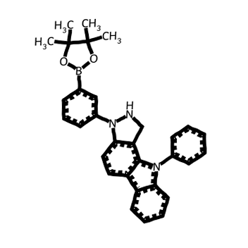 CC1(C)OB(c2cccc(N3NCc4c3ccc3c5ccccc5n(-c5ccccc5)c43)c2)OC1(C)C